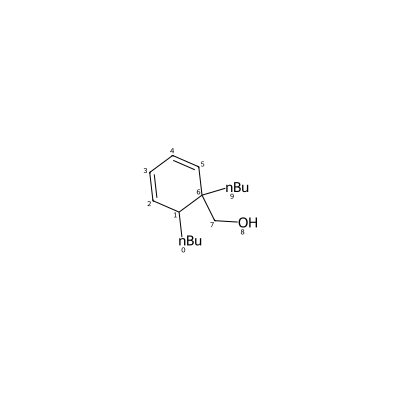 CCCCC1C=CC=CC1(CO)CCCC